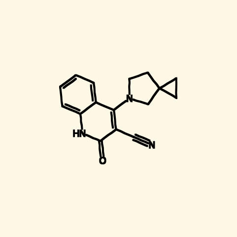 N#Cc1c(N2CCC3(CC3)C2)c2ccccc2[nH]c1=O